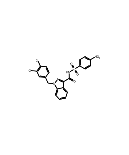 O=C(NS(=O)(=O)c1ccc([N+](=O)[O-])cc1)c1nn(Cc2ccc(Cl)c(Cl)c2)c2ccccc12